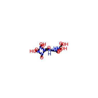 CC(C)(C(=O)NCCCC[C@@H](C=O)NC(=O)N[C@@H](CCC(=O)O)C(=O)O)C(C)(C)N1CCN(CC=O)CCN(CC(=O)O)CCN(CC(=O)O)CC1